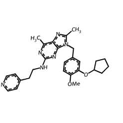 COc1ccc(Cn2c(C)nc3c(C)nc(NCCc4ccncc4)nc32)cc1OC1CCCC1